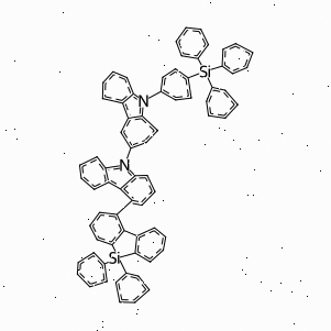 c1ccc([Si](c2ccccc2)(c2ccccc2)c2ccc(-n3c4ccccc4c4cc(-n5c6ccccc6c6c(-c7cccc8c7-c7ccccc7[Si]8(c7ccccc7)c7ccccc7)cccc65)ccc43)cc2)cc1